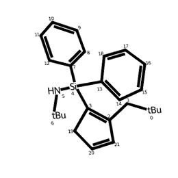 CC(C)(C)CC1=C([Si](NC(C)(C)C)(c2ccccc2)c2ccccc2)CC=C1